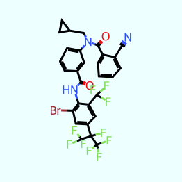 N#Cc1ccccc1C(=O)N(CC1CC1)c1cccc(C(=O)Nc2c(Br)cc(C(F)(C(F)(F)F)C(F)(F)F)cc2C(F)(F)F)c1